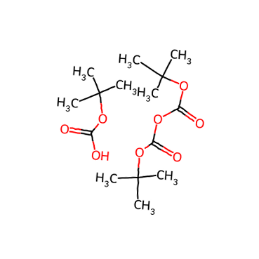 CC(C)(C)OC(=O)O.CC(C)(C)OC(=O)OC(=O)OC(C)(C)C